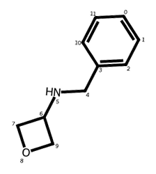 c1ccc(CNC2COC2)cc1